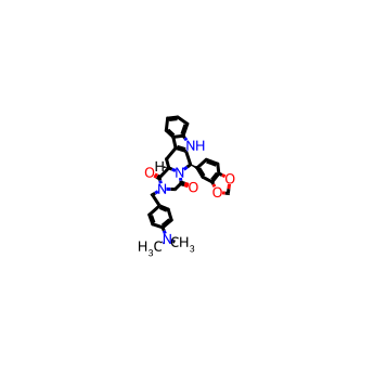 CN(C)c1ccc(CN2CC(=O)N3[C@H](c4ccc5c(c4)OCO5)c4[nH]c5ccccc5c4C[C@@H]3C2=O)cc1